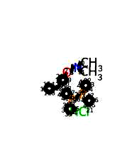 CCN(CC)CCOc1ccc(Cc2ccccc2)cc1.Cl.c1ccc(P(CCP(c2ccccc2)c2ccccc2)c2ccccc2)cc1